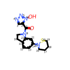 O=C(c1cnnn1O)N1CCc2ccc(N3CCCCS3)cc21